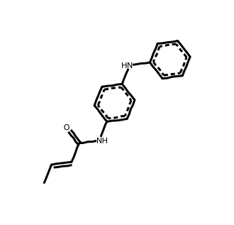 CC=CC(=O)Nc1ccc(Nc2ccccc2)cc1